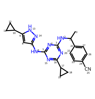 CC(Nc1nc(Nc2cc(C3CC3)[nH]n2)nc(C2CC2)n1)c1ccc(C#N)cc1